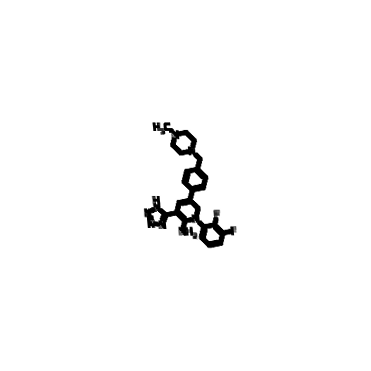 CN1CCN(Cc2ccc(C3=CC(c4nnn[nH]4)=C(N)N(c4cccc(F)c4F)C3)cc2)CC1